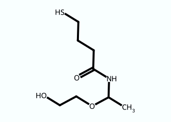 CC(NC(=O)CCCS)OCCO